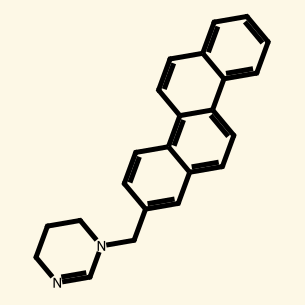 C1=NCCCN1Cc1ccc2c(ccc3c4ccccc4ccc23)c1